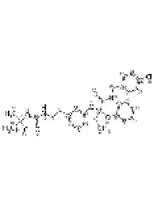 CCC1(Oc2cccc(CCNC(=O)OC(C)(C)C)c2)Oc2ccccc2N(Cc2ccc(Cl)cc2)C1=O